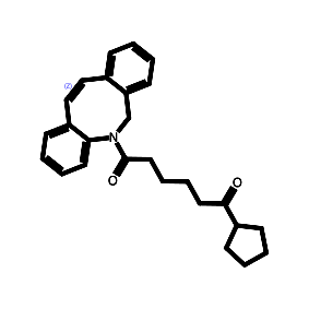 O=C(CCCCC(=O)N1Cc2ccccc2/C=C\c2ccccc21)C1CCCC1